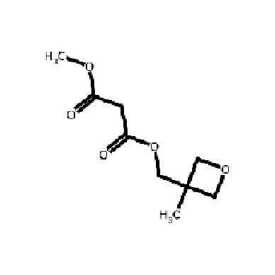 COC(=O)CC(=O)OCC1(C)COC1